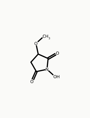 COC1CC(=O)N(O)C1=O